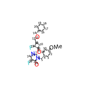 COc1ccc(Cn2c(O[C@@H]3C[C@H](COCc4ccccc4)C3F)ncc(F)c2=O)cc1